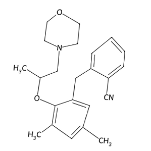 Cc1cc(C)c(OC(C)CN2CCOCC2)c(Cc2ccccc2C#N)c1